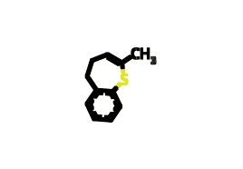 CC1=CCCc2ccccc2S1